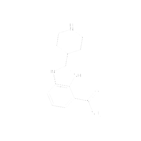 NC(=O)c1cccc2c1NC(C1CCNCC1)N2